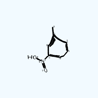 Cc1cccc([N+](=O)O)c1